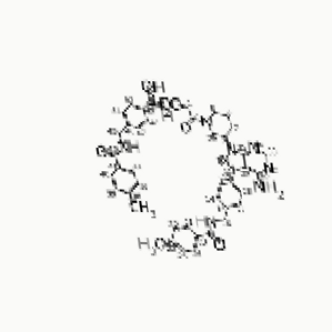 C=CC(=O)N1CCC[C@@H](n2nc(-c3ccc(CNC(=O)c4ccc(C)cc4)cc3)c3c(N)ncnc32)C1.Cc1ccc(C(=O)NCc2ccc(B(O)O)cc2)cc1